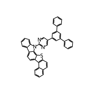 c1ccc(-c2cc(-c3ccccc3)cc(-c3cnc(-n4c5ccccc5c5ccc6c(sc7ccc8ccccc8c76)c54)nc3)c2)cc1